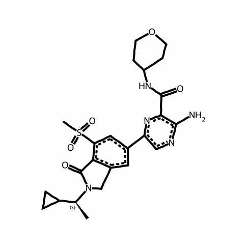 C[C@@H](C1CC1)N1Cc2cc(-c3cnc(N)c(C(=O)NC4CCOCC4)n3)cc(S(C)(=O)=O)c2C1=O